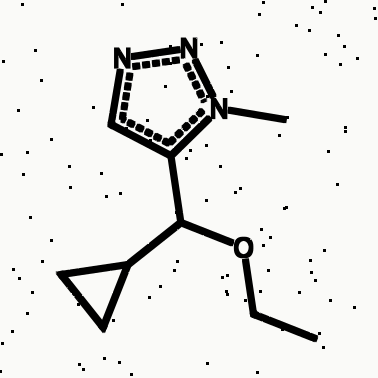 CCOC(c1cnnn1C)C1CC1